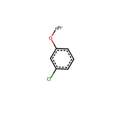 CC[CH]Oc1cccc(Cl)c1